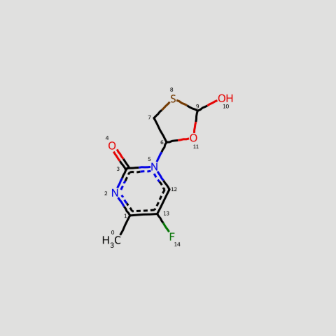 Cc1nc(=O)n(C2CSC(O)O2)cc1F